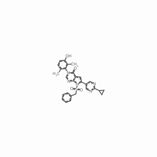 Cc1ccc(O)c(C)c1-n1cnc2c(cc(-c3cnc(C4CC4)nc3)n2S(=O)(=O)Cc2ccccc2)c1=O